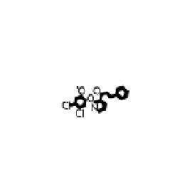 COc1cc(Cl)c(Cl)cc1Oc1ncccc1C(=O)/C=C/c1ccccc1